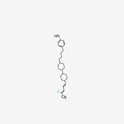 CCCc1ccc(CCCCC2CCC(C3CCC(C=CC=C(F)C#N)CC3)CC2)cc1